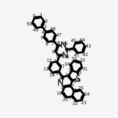 c1ccc(-c2ccc(-c3cc(-c4cccc(-c5nc6ccc7ccccc7c6c6sc7ccccc7c56)c4)nc(-c4ccccc4)n3)cc2)cc1